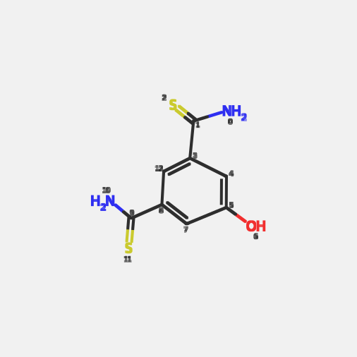 NC(=S)c1cc(O)cc(C(N)=S)c1